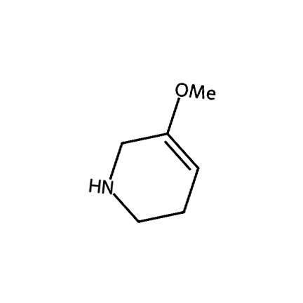 COC1=CCCNC1